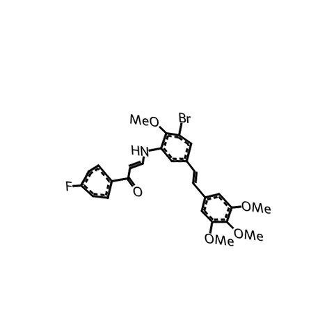 COc1cc(C=Cc2cc(Br)c(OC)c(NC=CC(=O)c3ccc(F)cc3)c2)cc(OC)c1OC